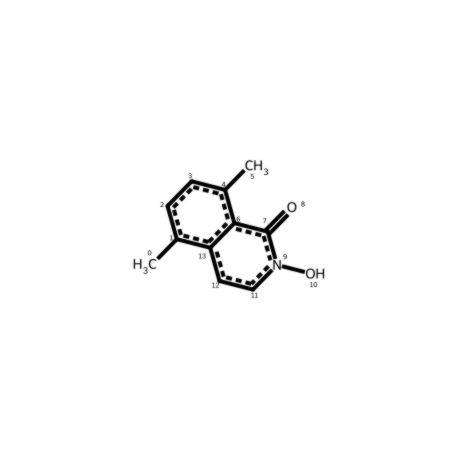 Cc1ccc(C)c2c(=O)n(O)ccc12